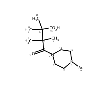 CC(=O)N1CCN(C(=O)C(C)(C)C(C)(C)C(=O)O)CC1